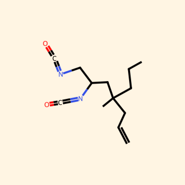 C=CCC(C)(CCC)CC(CN=C=O)N=C=O